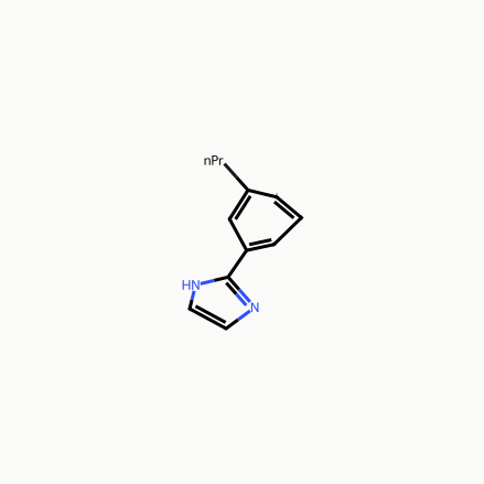 CCCc1[c]ccc(-c2ncc[nH]2)c1